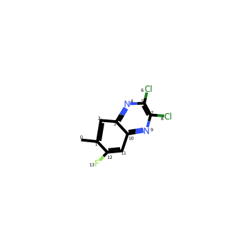 Cc1cc2nc(Cl)c(Cl)nc2cc1F